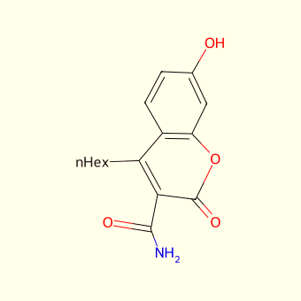 CCCCCCc1c(C(N)=O)c(=O)oc2cc(O)ccc12